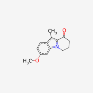 COc1ccc2c(C)c3n(c2c1)CCCC3=O